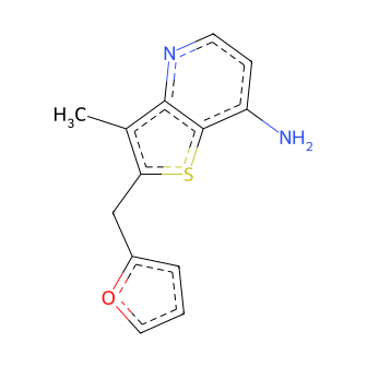 Cc1c(Cc2ccco2)sc2c(N)ccnc12